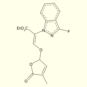 CCOC(=O)/C(=C/OC1C=C(C)C(=O)O1)n1nc(F)c2ccccc21